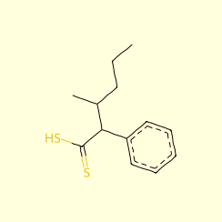 CCCC(C)C(C(=S)S)c1ccccc1